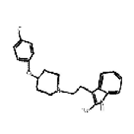 Cc1[nH]c2ccccc2c1CCN1CCC(Oc2ccc(F)cc2)CC1